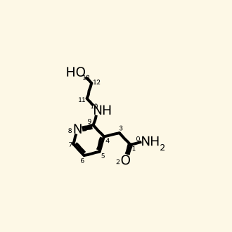 NC(=O)Cc1cccnc1NCCO